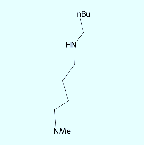 [CH2]CCCCNCCCCNC